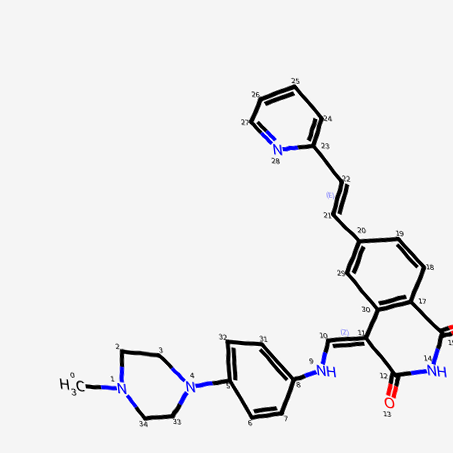 CN1CCN(c2ccc(N/C=C3\C(=O)NC(=O)c4ccc(/C=C/c5ccccn5)cc43)cc2)CC1